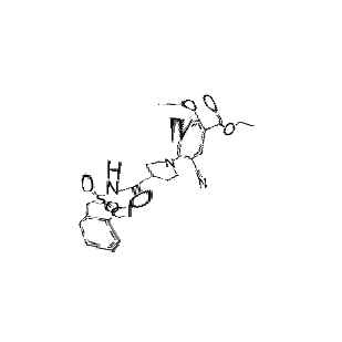 CCOC(=O)c1cc(C#N)c(N2CCC(C(=O)NS(=O)(=O)Cc3ccccc3Cl)CC2)nc1OC